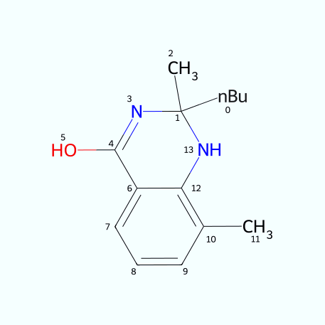 CCCCC1(C)N=C(O)c2cccc(C)c2N1